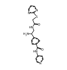 NC(CNC(=O)CSc1ncccn1)c1ccc(C(=O)Nc2ccncc2)cc1